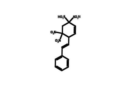 O=[N+]([O-])C1([N+](=O)[O-])CC(S(=O)(=O)O)(S(=O)(=O)O)C=CC1C=Cc1ccccc1